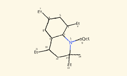 CCCCCCCCN1C2C(CC)CC(CC)CC2C(CC)CC1(C)CC